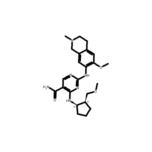 COC[C@H]1CCC[C@H]1Nc1nc(Nc2cc3c(cc2OC)CCN(C)C3)ncc1C(N)=O